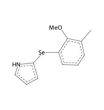 COc1c(C)cccc1[Se]c1ccc[nH]1